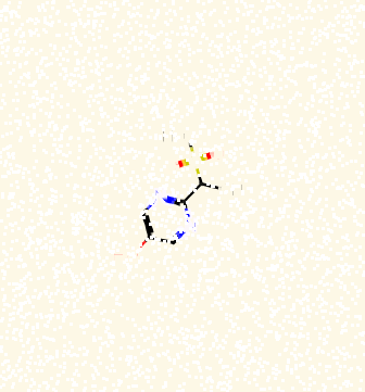 CC(c1ncc(O)cn1)S(C)(=O)=O